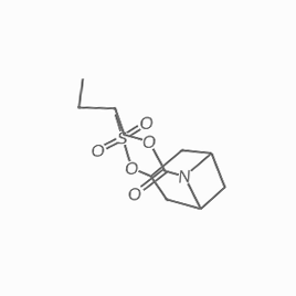 CCCCOC(=O)N1C2CC(OS(C)(=O)=O)CC1C2